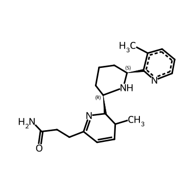 Cc1cccnc1[C@@H]1CCC[C@H](C2N=C(CCC(N)=O)C=CC2C)N1